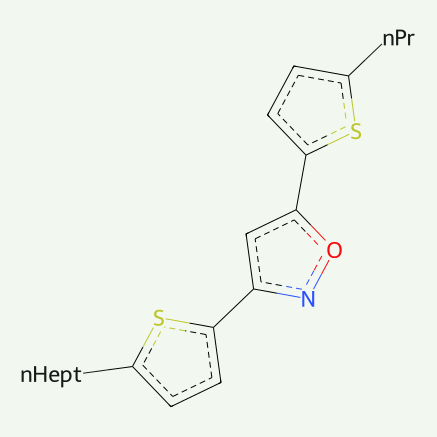 CCCCCCCc1ccc(-c2cc(-c3ccc(CCC)s3)on2)s1